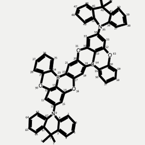 CC1(C)c2ccccc2N(c2cc3c4c(c2)Oc2cc5c(cc2B4c2ccccc2O3)Oc2cc(N3c4ccccc4C(C)(C)c4ccccc43)cc3c2B5c2ccccc2O3)c2ccccc21